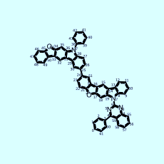 c1ccc(-c2nc(-n3c4ccccc4c4cc5c(cc43)oc3ccc(-c4ccc6c(c4)c4cc7c(cc4n6-c4ccccc4)oc4ccccc47)cc35)nc3ccccc23)cc1